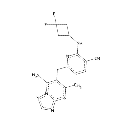 Cc1nc2ncnn2c(N)c1Cc1ccc(C#N)c(NC2CC(F)(F)C2)n1